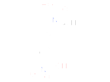 C[C@H]1CC(c2ccc([N+](=O)[O-])c(O)c2)=CCN1C(=O)O